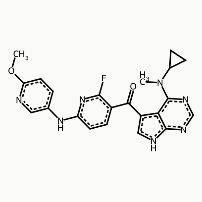 COc1ccc(Nc2ccc(C(=O)c3c[nH]c4ncnc(N(C)C5CC5)c34)c(F)n2)cn1